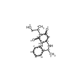 CC(Nc1cc(=O)n(C(C)CO)c(=O)[nH]1)c1ccccc1